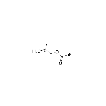 CC(C)C(=O)OC[C@@H](C)I